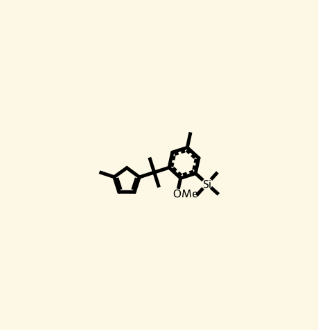 COc1c(C(C)(C)C2=CC=C(C)C2)cc(C)cc1[Si](C)(C)C